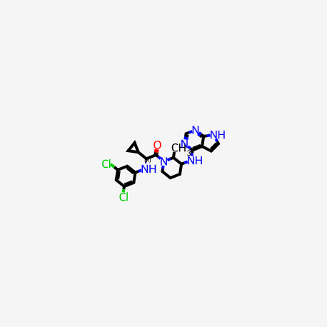 CC1C(Nc2ncnc3[nH]ccc23)CCCN1C(=O)[C@H](Nc1cc(Cl)cc(Cl)c1)C1CC1